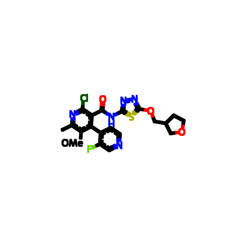 COc1c(C)nc(Cl)c(C(=O)Nc2nnc(OCC3CCOC3)s2)c1-c1ccncc1F